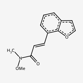 CON(C)C(=O)C=Cc1cccc2ccoc12